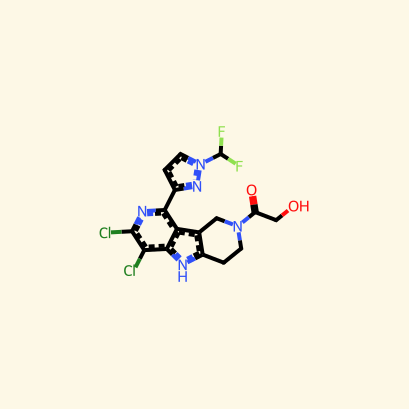 O=C(CO)N1CCc2[nH]c3c(Cl)c(Cl)nc(-c4ccn(C(F)F)n4)c3c2C1